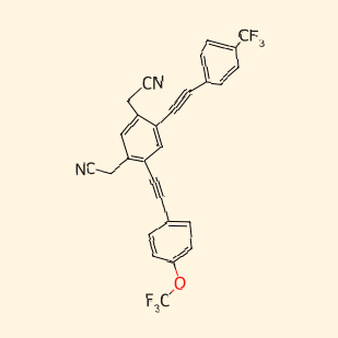 N#CCc1cc(CC#N)c(C#Cc2ccc(C(F)(F)F)cc2)cc1C#Cc1ccc(OC(F)(F)F)cc1